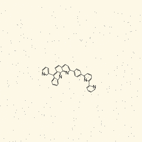 c1ccc(-c2cccc(-c3ccc(-c4ccc5ccc6c(-c7cccnc7)c7ccccc7nc6c5n4)cc3)n2)nc1